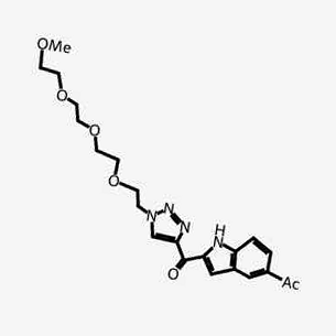 COCCOCCOCCOCCn1cc(C(=O)c2cc3cc(C(C)=O)ccc3[nH]2)nn1